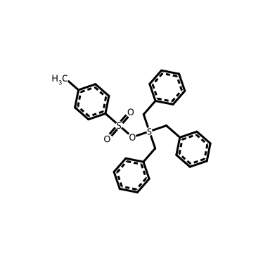 Cc1ccc(S(=O)(=O)OS(Cc2ccccc2)(Cc2ccccc2)Cc2ccccc2)cc1